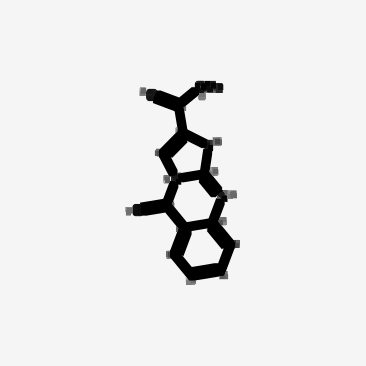 COC(=O)c1cn2c(=O)c3ccccc3nc2s1